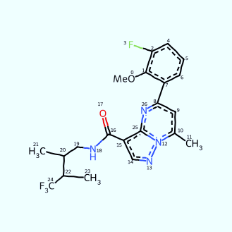 COc1c(F)cccc1-c1cc(C)n2ncc(C(=O)NCC(C)C(C)C(F)(F)F)c2n1